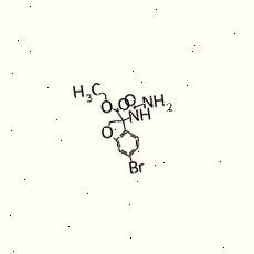 CCOC(=O)C1(NC(N)=O)COc2cc(Br)ccc21